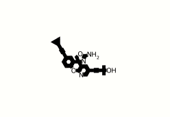 CC(C)(O)C#Cc1cnc2c(c1)C1(COC(N)=N1)c1cc(C#CC3CC3)ccc1O2